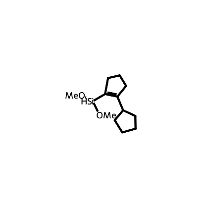 CO[SiH](OC)C1=C(C2CCCC2)CCC1